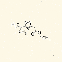 CCOC(=O)Cc1nnc(C(C)C)s1